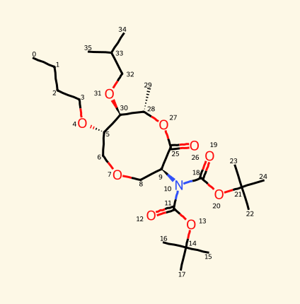 CCCCO[C@H]1COC[C@H](N(C(=O)OC(C)(C)C)C(=O)OC(C)(C)C)C(=O)O[C@@H](C)[C@@H]1OCC(C)C